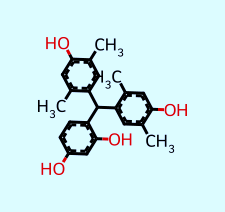 Cc1cc(C(c2cc(C)c(O)cc2C)c2ccc(O)cc2O)c(C)cc1O